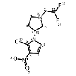 O=[N+]([O-])c1cnn([C@@H]2CCN(CC(F)F)C2)c1Cl